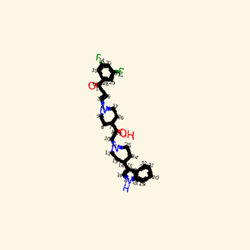 O=C(C=CN1CCC(C(O)CN2CCC(c3c[nH]c4ccccc34)CC2)CC1)c1cc(F)cc(F)c1